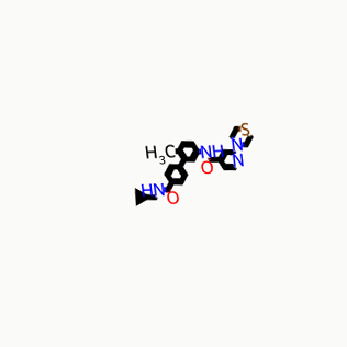 Cc1ccc(NC(=O)c2ccnc(N3CCSCC3)c2)cc1-c1ccc(C(=O)NCC2CC2)cc1